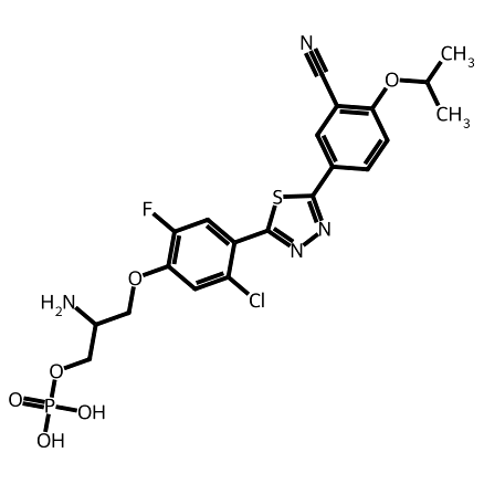 CC(C)Oc1ccc(-c2nnc(-c3cc(F)c(OCC(N)COP(=O)(O)O)cc3Cl)s2)cc1C#N